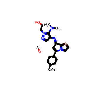 CC(=O)[O-].COc1ccc(C2=C/C(=N\c3cnn(CCO)c3N(C)C)c3scc[n+]32)cc1